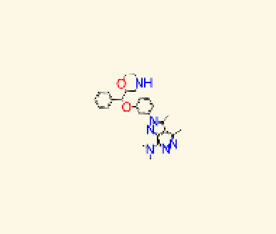 Cc1nnc(N(C)C)c2nn(-c3cccc(O[C@H](c4ccccc4)[C@@H]4CNCCO4)c3)c(C)c12